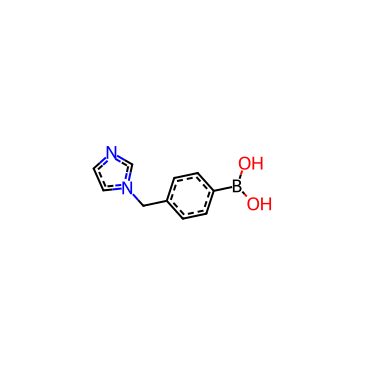 OB(O)c1ccc(Cn2ccnc2)cc1